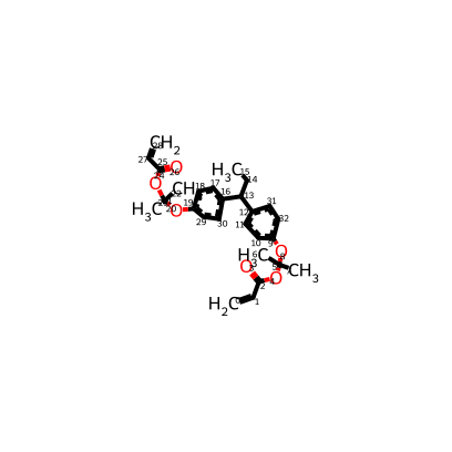 C=CC(=O)OC(C)(C)Oc1ccc(C(CC)c2ccc(OC(C)(C)OC(=O)C=C)cc2)cc1